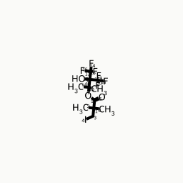 CC(C)(CI)C(=O)OC(C)(C)C(O)(C(F)(F)F)C(F)(F)F